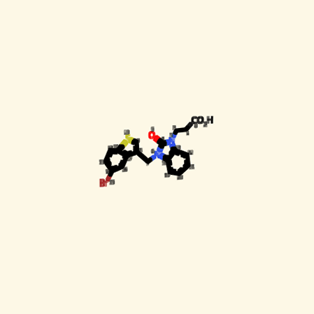 O=C(O)CCn1c(=O)n(Cc2csc3ccc(Br)cc23)c2ccccc21